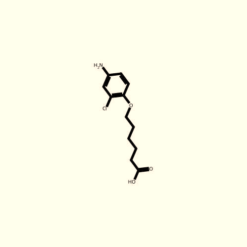 Nc1ccc(OCCCCCC(=O)O)c(Cl)c1